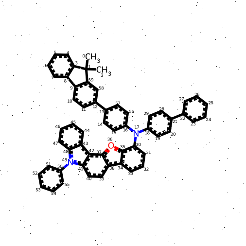 CC1(C)c2ccccc2-c2ccc(-c3ccc(N(c4ccc(-c5ccccc5)cc4)c4cccc5c4oc4c5ccc5c4c4ccccc4n5-c4ccccc4)cc3)cc21